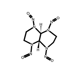 O=NN1CCN(N=O)[C@H]2[C@H]1N(N=O)CCN2N=O